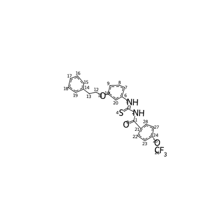 O=C(NC(=S)Nc1cccc(OCCc2ccccc2)c1)c1ccc(OC(F)(F)F)cc1